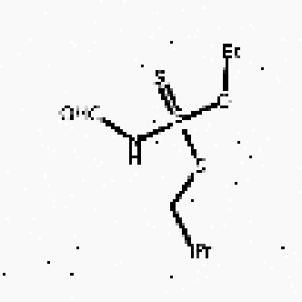 CCOP(=S)(NC=O)SCC(C)C